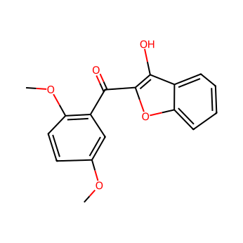 COc1ccc(OC)c(C(=O)c2oc3ccccc3c2O)c1